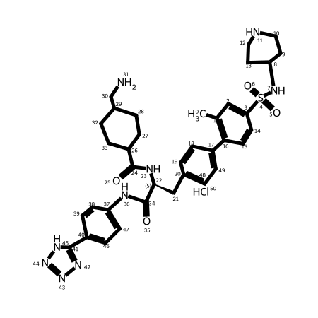 Cc1cc(S(=O)(=O)NC2CCNCC2)ccc1-c1ccc(C[C@H](NC(=O)C2CCC(CN)CC2)C(=O)Nc2ccc(-c3nnn[nH]3)cc2)cc1.Cl